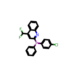 FC(F)c1cc(P(c2ccccc2)c2ccc(Cl)cc2)nc2ccccc12